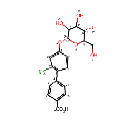 O=C(O)c1ccc(-c2ccc(O[C@H]3OC(CO)[C@@H](O)C(O)C3O)cc2Cl)cc1